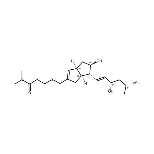 CCCC[C@H](C)C[C@H](O)/C=C/[C@@H]1[C@H]2CC(CSCCC(=O)N(C)C)=C[C@H]2C[C@H]1O